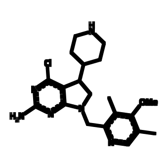 COc1c(C)cnc(CN2CC(C3CCNCC3)c3c(Cl)nc(N)nc32)c1C